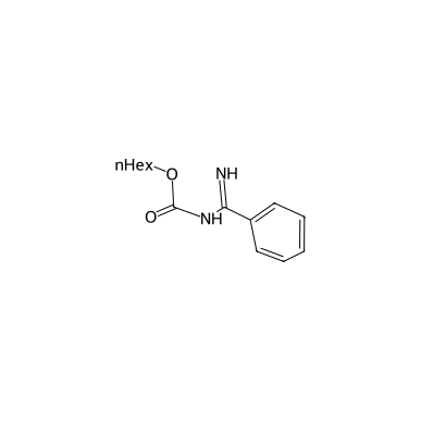 CCCCCCOC(=O)NC(=N)c1ccccc1